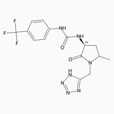 CC1C[C@H](NC(=O)Nc2ccc(C(F)(F)F)cc2)C(=O)N1Cc1nnn[nH]1